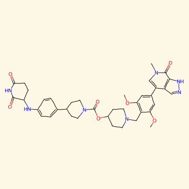 COc1cc(-c2cn(C)c(=O)c3[nH]ncc23)cc(OC)c1CN1CCC(OC(=O)N2CCC(c3ccc(NC4CCC(=O)NC4=O)cc3)CC2)CC1